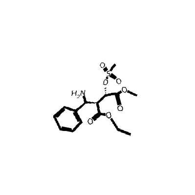 CCOC(=O)[C@@H](C(N)c1ccccc1)[C@H](OS(C)(=O)=O)C(=O)OC